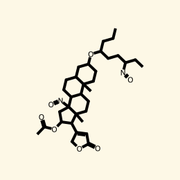 CCCC(CCC(CC)N=O)OC1CCC2(C)C(CCC3C2CCC2(C)C(C4=CC(=O)OC4)C(OC(C)=O)CC32N=O)C1